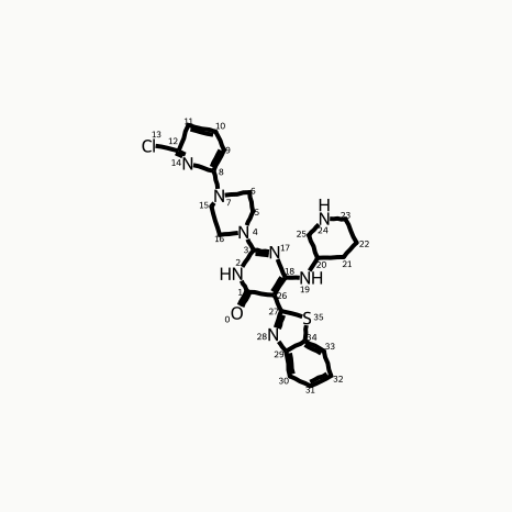 O=c1[nH]c(N2CCN(c3cccc(Cl)n3)CC2)nc(NC2CCCNC2)c1-c1nc2ccccc2s1